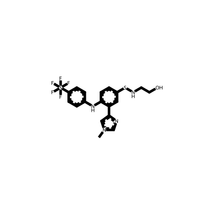 Cn1cnc(-c2cc(SNCCO)ccc2Nc2ccc(S(F)(F)(F)(F)F)cc2)c1